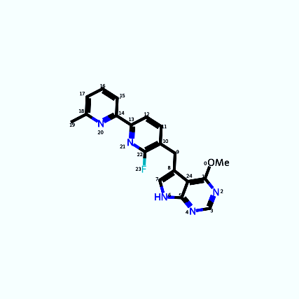 COc1ncnc2[nH]cc(Cc3ccc(-c4[c]ccc(C)n4)nc3F)c12